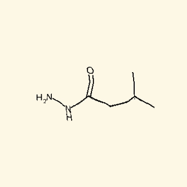 C[C](C)CC(=O)NN